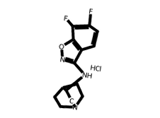 Cl.Fc1ccc2c(NC3CN4CCC3CC4)noc2c1F